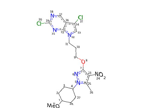 COC1CCC(n2nc(OCCCn3cc(Cl)c4cnc(Cl)nc43)c([N+](=O)[O-])c2C)CC1